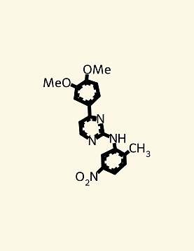 COc1ccc(-c2ccnc(Nc3cc([N+](=O)[O-])ccc3C)n2)cc1OC